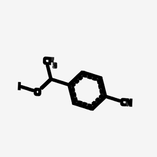 N#Cc1ccc(C(OI)C(F)(F)F)cc1